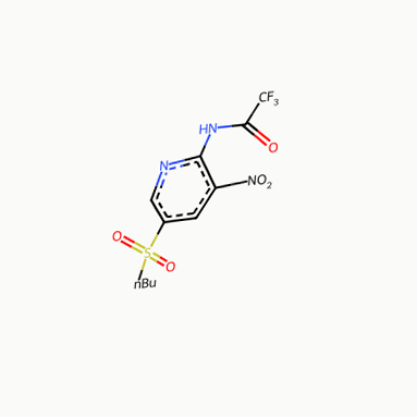 CCCCS(=O)(=O)c1cnc(NC(=O)C(F)(F)F)c([N+](=O)[O-])c1